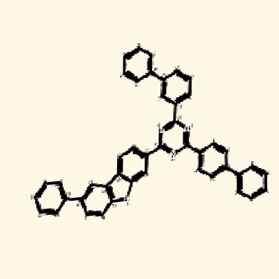 c1ccc(-c2ccc(-c3nc(-c4cccc(-c5ccccc5)c4)nc(-c4ccc5c(c4)oc4ccc(-c6ccccc6)cc45)n3)cc2)cc1